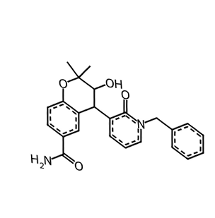 CC1(C)Oc2ccc(C(N)=O)cc2C(c2cccn(Cc3ccccc3)c2=O)C1O